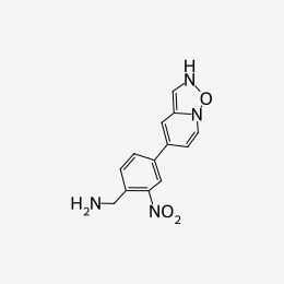 NCc1ccc(C2=CC3=CNON3C=C2)cc1[N+](=O)[O-]